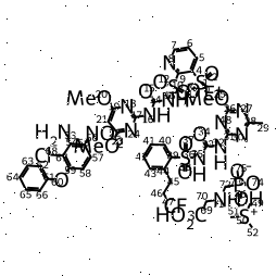 CCS(=O)(=O)c1cccnc1S(=O)(=O)NC(=O)Nc1nc(OC)cc(OC)n1.COc1nc(C)nc(NC(=O)NS(=O)(=O)c2ccccc2CCC(F)(F)F)n1.C[S+](C)C.Nc1c([N+](=O)[O-])ccc(Oc2ccccc2)c1Cl.O=C(O)CNCP(=O)([O-])O